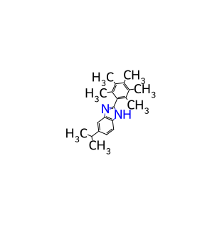 Cc1c(C)c(C)c(-c2nc3cc(C(C)C)ccc3[nH]2)c(C)c1C